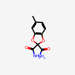 Cc1ccc2c(c1)OC(C(N)=O)(C(N)=O)O2